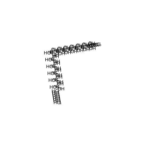 Cl.Cl.Cl.Cl.Cl.Cl.Cl.Cl.Cl.Cl.Cl.Cl.OB(O)O.OB(O)O.OB(O)O.OB(O)O.OB(O)O.OB(O)O.OB(O)O.OB(O)O.OB(O)O.OB(O)O.OB(O)O.OB(O)O